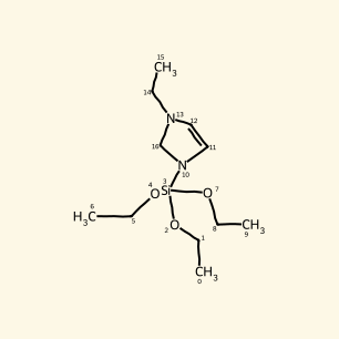 CCO[Si](OCC)(OCC)N1C=CN(CC)C1